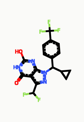 O=c1[nH]c(O)nc2c1c(C(F)F)nn2C(c1ccc(C(F)(F)F)cc1)C1CC1